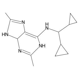 CC1=NC2NC(C)=NC2=C(NC(C2CC2)C2CC2)N1